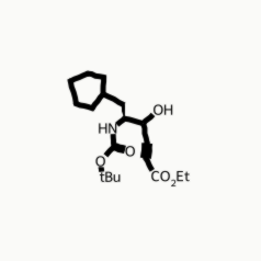 CCOC(=O)C#CC(O)[C@H](CC1CCCCC1)NC(=O)OC(C)(C)C